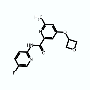 Cc1cc(OC2COC2)cc(C(=O)Nc2ccc(F)cn2)n1